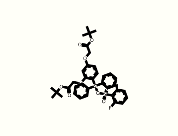 CC(C)(C)OC(=O)COc1ccc(S(OS(=O)(=O)c2c(F)cccc2F)(c2ccccc2)c2ccccc2)c(OCC(=O)OC(C)(C)C)c1